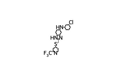 FC(F)(F)c1cc(SCc2nc3cc(Nc4cccc(Cl)c4)ccc3[nH]2)ccn1